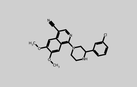 COc1cc2c(C#N)cnc(N3CCNC(c4cccc(Cl)c4)C3)c2cc1OC